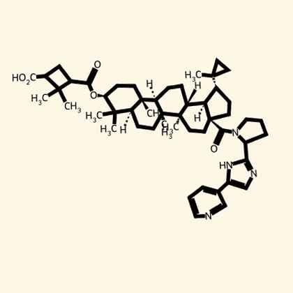 CC1(C)C(C(=O)O)CC1C(=O)O[C@H]1CC[C@]2(C)[C@H]3CC[C@@H]4[C@H]5[C@H](C6(C)CC6)CC[C@]5(C(=O)N5CCCC5c5ncc(-c6cccnc6)[nH]5)CC[C@@]4(C)[C@]3(C)CC[C@H]2C1(C)C